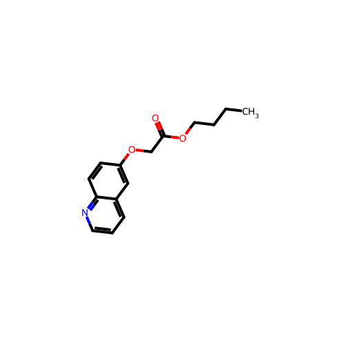 CCCCOC(=O)COc1ccc2ncccc2c1